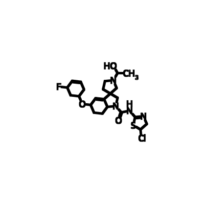 CC(O)N1CCC2(C1)CN(C(=O)NC1=NCC(Cl)S1)C1CCC(OC3CC=CC(F)C3)C=C12